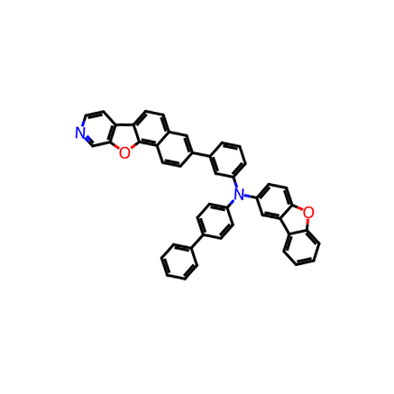 c1ccc(-c2ccc(N(c3cccc(-c4ccc5c(ccc6c7ccncc7oc56)c4)c3)c3ccc4oc5ccccc5c4c3)cc2)cc1